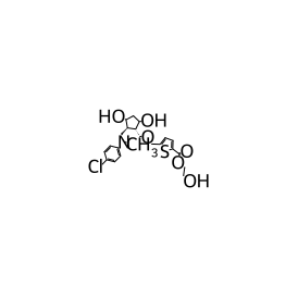 CN(C[C@H]1C(O)CC(O)[C@@H]1COCc1ccc(C(=O)OCCO)s1)c1ccc(Cl)cc1